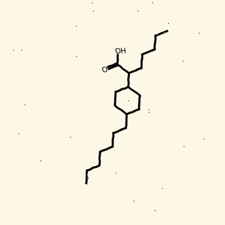 CCCCCCCC1CCC(C(CCCCC)C(=O)O)CC1